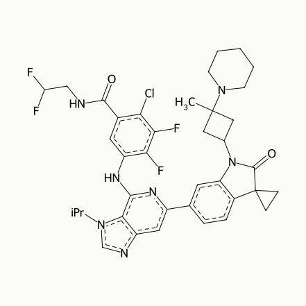 CC(C)n1cnc2cc(-c3ccc4c(c3)N(C3CC(C)(N5CCCCC5)C3)C(=O)C43CC3)nc(Nc3cc(C(=O)NCC(F)F)c(Cl)c(F)c3F)c21